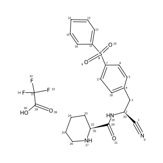 N#C[C@H](Cc1ccc(S(=O)(=O)c2ccccc2)cc1)NC(=O)[C@@H]1CCCCN1.O=C(O)C(F)(F)F